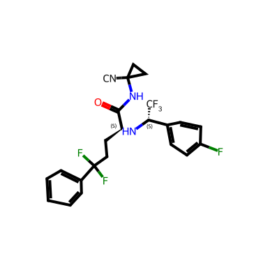 [C-]#[N+]C1(NC(=O)[C@H](CCC(F)(F)c2ccccc2)N[C@@H](c2ccc(F)cc2)C(F)(F)F)CC1